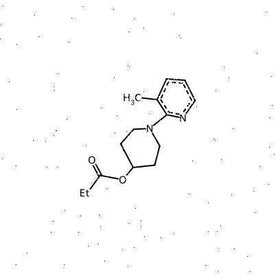 CCC(=O)OC1CCN(c2ncccc2C)CC1